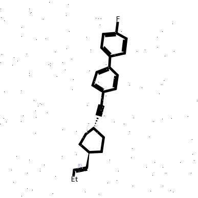 CC/C=C/[C@H]1CC[C@H](C#Cc2ccc(-c3ccc(F)cc3)cc2)CC1